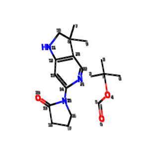 CC(C)(C)OC=O.CC1(C)CNc2cc(N3CCCC3=O)ncc21